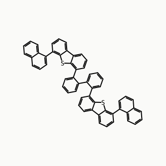 c1ccc(-c2cccc3c2sc2c(-c4cccc5ccccc45)cccc23)c(-c2ccccc2-c2cccc3c2sc2c(-c4cccc5ccccc45)cccc23)c1